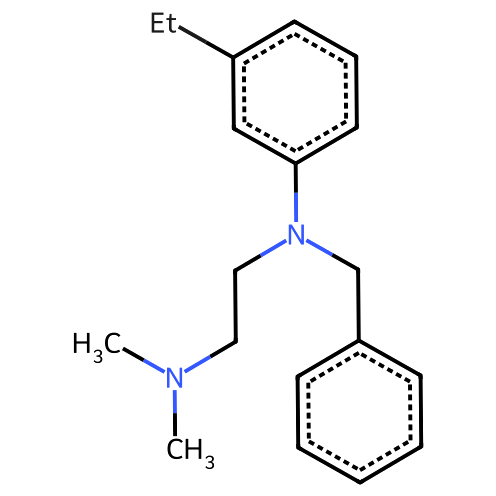 CCc1cccc(N(CCN(C)C)Cc2ccccc2)c1